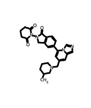 CC1CCCN(Cc2cc(-c3ccc4c(c3)CN(N3C(=O)CCCC3=O)C4=O)n3cncc3c2)C1